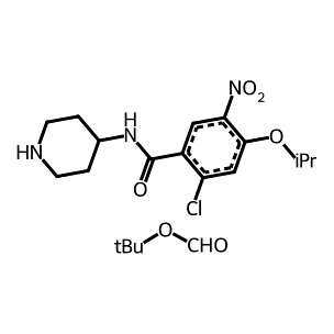 CC(C)(C)OC=O.CC(C)Oc1cc(Cl)c(C(=O)NC2CCNCC2)cc1[N+](=O)[O-]